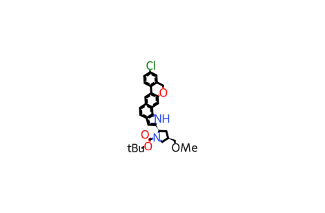 COC[C@@H]1C[C@@H](c2cc3ccc4cc5c(cc4c3[nH]2)OCc2cc(Cl)ccc2-5)N(C(=O)OC(C)(C)C)C1